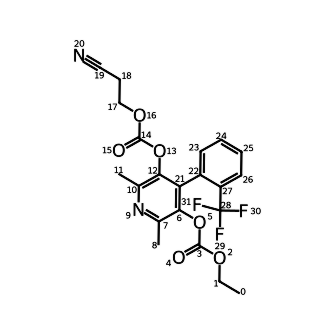 CCOC(=O)Oc1c(C)nc(C)c(OC(=O)OCCC#N)c1-c1ccccc1C(F)(F)F